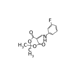 CC1(C)OC(=O)C(=CNc2cccc(F)c2)C(=O)O1